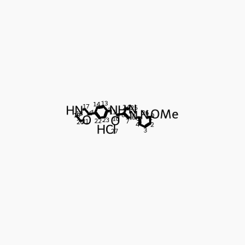 COc1cccc(-n2cc(C(=O)Nc3ccc(C4CNCCO4)cc3)cn2)n1.Cl